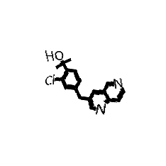 CC(C)(O)c1ccc(Cc2cnc3ccncc3c2)cc1Cl